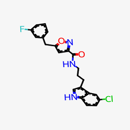 O=C(NCCCc1c[nH]c2ccc(Cl)cc12)c1cc(Cc2cccc(F)c2)on1